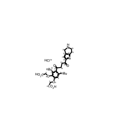 CCCCc1cc(OCC(=O)O)c(OCC(=O)O)c(CCCC)c1C(=O)CCC(=O)c1cc2c(s1)CCNC2.Cl